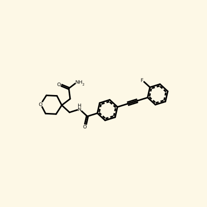 NC(=O)CC1(CNC(=O)c2ccc(C#Cc3ccccc3F)cc2)CCOCC1